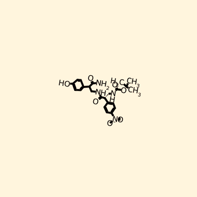 CC(C)(C)OC(=O)NC[C@@H](C(=O)NCC(C(N)=O)c1ccc(O)cc1)c1ccc([N+](=O)[O-])cc1